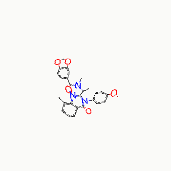 COc1ccc(-n2c(C(C)N(C)C(=O)c3ccc4c(c3)OCO4)nc3c(C)cccc3c2=O)cc1